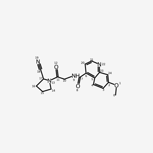 COc1ccc2c(C(=O)NCC(=O)N3CCCC3C#N)ccnc2c1